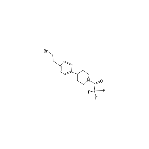 O=C(N1CCC(c2ccc(CCBr)cc2)CC1)C(F)(F)F